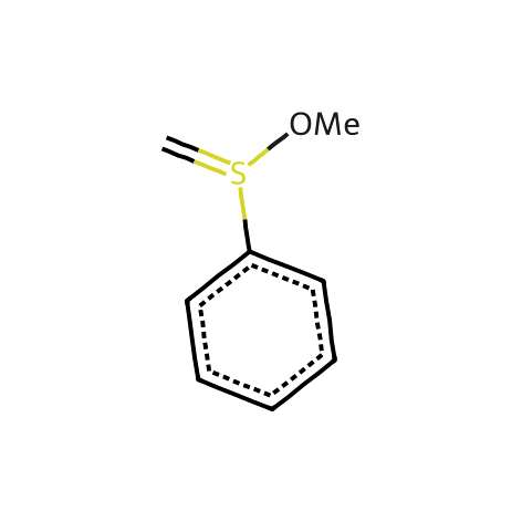 C=S(OC)c1ccccc1